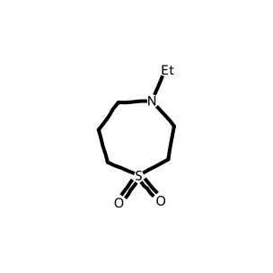 CCN1CCCS(=O)(=O)CC1